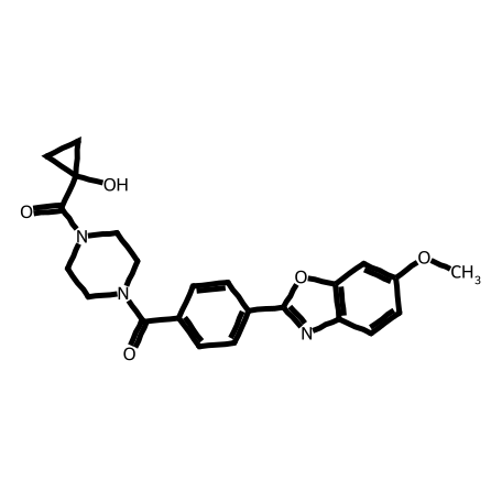 COc1ccc2nc(-c3ccc(C(=O)N4CCN(C(=O)C5(O)CC5)CC4)cc3)oc2c1